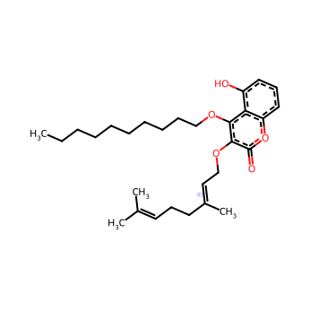 CCCCCCCCCCOc1c(OC/C=C(\C)CCC=C(C)C)c(=O)oc2cccc(O)c12